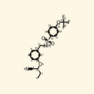 CC[C@@H](C#N)Oc1cccc(CNS(=O)(=O)c2ccc(OC(F)(F)F)cc2)c1